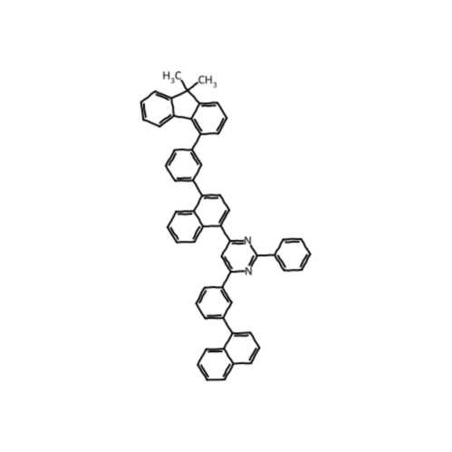 CC1(C)c2ccccc2-c2c(-c3cccc(-c4ccc(-c5cc(-c6cccc(-c7cccc8ccccc78)c6)nc(-c6ccccc6)n5)c5ccccc45)c3)cccc21